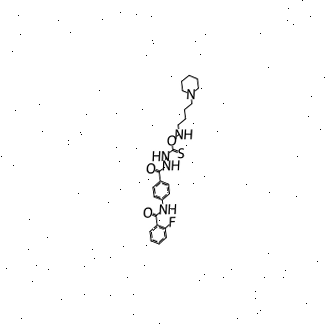 O=C(NNC(=S)ONCCCCN1CCCCC1)c1ccc(NC(=O)c2ccccc2F)cc1